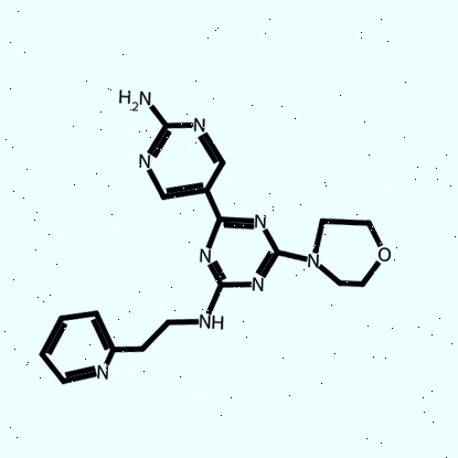 Nc1ncc(-c2nc(NCCc3ccccn3)nc(N3CCOCC3)n2)cn1